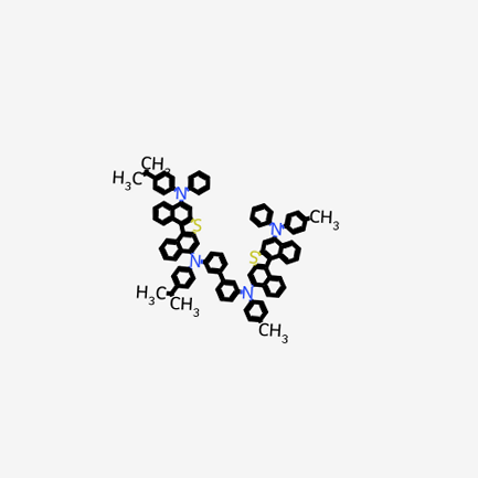 Cc1ccc(N(c2ccccc2)c2cc3sc4cc(N(c5ccc(C)cc5)c5cccc(-c6cccc(N(c7ccc(C(C)C)cc7)c7cc8sc9cc(N(c%10ccccc%10)c%10ccc(C(C)C)cc%10)c%10ccccc%10c9c8c8ccccc78)c6)c5)c5ccccc5c4c3c3ccccc23)cc1